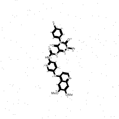 COc1cc2nccc(Oc3ccc(NC(=O)Oc4nn(C(C)C)c(=O)n(-c5ccc(F)cc5)c4=O)nc3)c2cc1OC